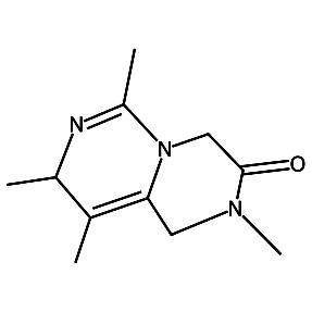 CC1=NC(C)C(C)=C2CN(C)C(=O)CN12